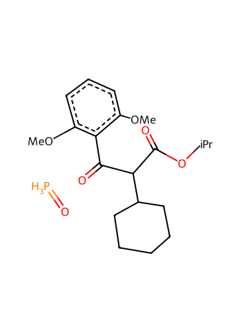 COc1cccc(OC)c1C(=O)C(C(=O)OC(C)C)C1CCCCC1.O=[PH3]